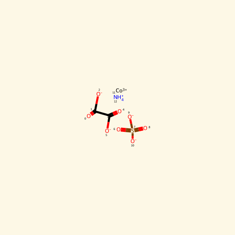 O=C([O-])C(=O)[O-].O=S(=O)([O-])[O-].[Co+3].[NH4+]